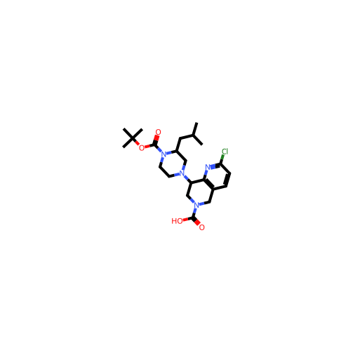 CC(C)CC1CN(C2CN(C(=O)O)Cc3ccc(Cl)nc32)CCN1C(=O)OC(C)(C)C